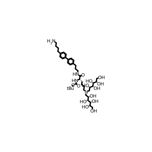 CC(C)(C)OC(=O)N[C@@H](CCCCN(C[C@H](O)[C@@H](O)[C@H](O)[C@H](O)CO)C[C@H](O)[C@@H](O)[C@H](O)[C@H](O)CO)C(=O)NCCCc1ccc(-c2ccc(CCCCN)cc2)cc1